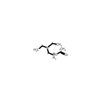 C.CCN(CC)CC.O=CO